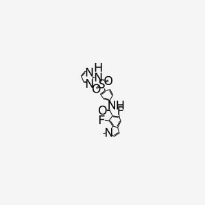 Cn1ccc2cc(F)c(C(=O)Nc3ccc(S(=O)(=O)Nc4ncccn4)cc3)c(F)c21